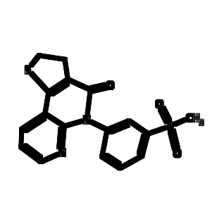 CS(=O)(=O)c1cccc(-n2c(=O)c3c(c4cccnc42)SCC3)c1